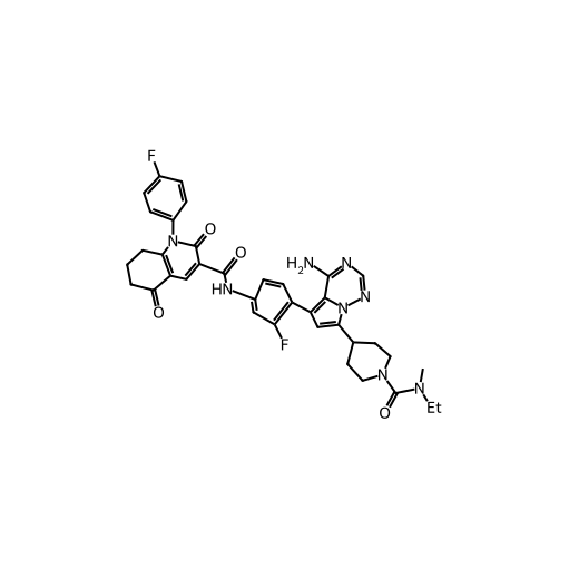 CCN(C)C(=O)N1CCC(c2cc(-c3ccc(NC(=O)c4cc5c(n(-c6ccc(F)cc6)c4=O)CCCC5=O)cc3F)c3c(N)ncnn23)CC1